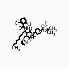 CCCCCCCCC(NC(=O)c1c(Cl)cccc1Cl)C(C(=O)NC1CCN(C(=O)OC(C)(C)C)CC1)C(Cn1cccn1)C(=O)O